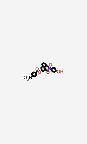 O=C(Oc1cc2c3c(cccc3c1)C(=O)N(c1ccc(O)cc1)C2=O)c1ccc([N+](=O)[O-])cc1